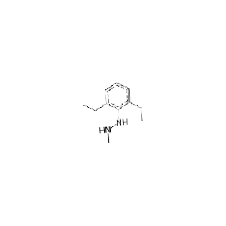 CCc1cccc(CC)c1NNC